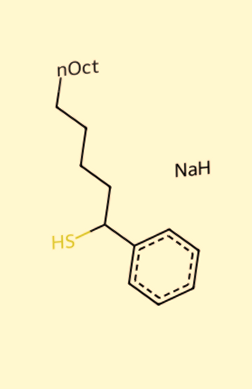 CCCCCCCCCCCCC(S)c1ccccc1.[NaH]